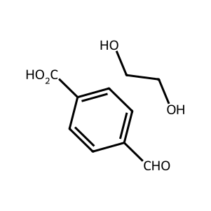 O=Cc1ccc(C(=O)O)cc1.OCCO